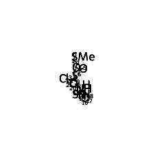 CSCCOC(=O)CSc1cc(NC(=S)N2CCCCN2)ccc1Cl